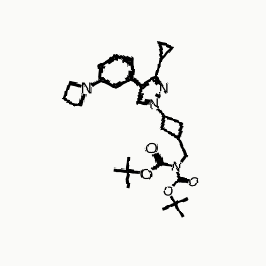 CC(C)(C)OC(=O)N(CC1CC(n2cc(-c3cccc(N4CCC4)c3)c(C3CC3)n2)C1)C(=O)OC(C)(C)C